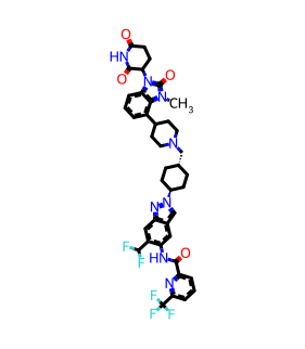 Cn1c(=O)n(C2CCC(=O)NC2=O)c2cccc(C3CCN(C[C@H]4CC[C@H](n5cc6cc(NC(=O)c7cccc(C(F)(F)F)n7)c(C(F)F)cc6n5)CC4)CC3)c21